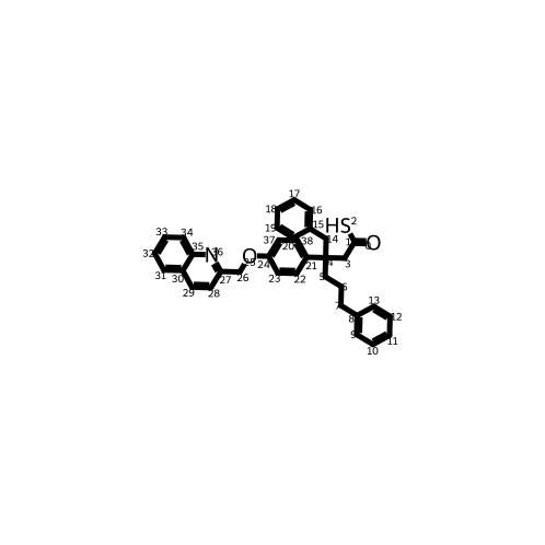 O=C(S)CC(CCCc1ccccc1)(Cc1ccccc1)c1ccc(OCc2ccc3ccccc3n2)cc1